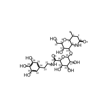 CC1CC(=O)NC2C1OC(CO)C(O)C2OC1OC(C(=O)NCCc2cc(O)c(O)c(O)c2)C(O)C(O)C1O